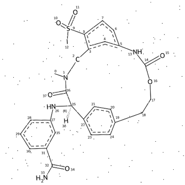 CN1Cc2cc(ccc2S(=O)(=O)I)NC(=O)OCCc2ccc(cc2)[C@@H](Nc2cccc(C(N)=O)c2)C1=O